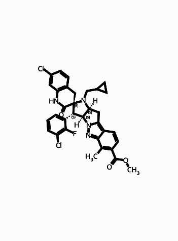 COC(=O)c1ccc2c3n(nc2c1C)[C@@H]1[C@H](C3)N(CC2CC2)[C@]2(Cc3ccc(Cl)cc3NC2=O)[C@H]1c1cccc(Cl)c1F